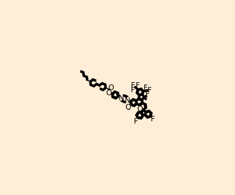 CCCCC[C@H]1CC[C@H]([C@H]2CC[C@H](C(=O)Oc3ccc(N4CCN(c5cc6c7c(c8c(c6cc5OC)OC(c5ccc(F)cc5)(c5ccc(F)cc5)C=C8)C(C)(C)c5c-7cc(C(F)(F)F)cc5C(F)(F)F)CC4)cc3)CC2)CC1